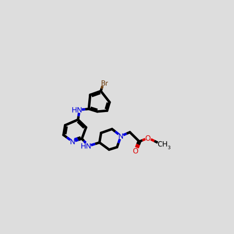 COC(=O)CN1CCC(Nc2cc(Nc3cccc(Br)c3)ccn2)CC1